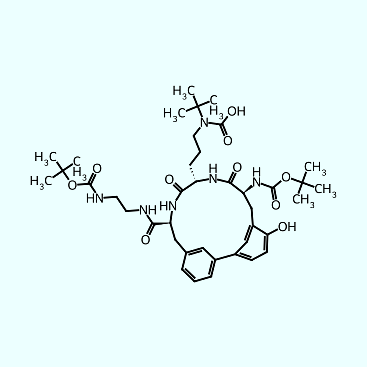 CC(C)(C)OC(=O)NCCNC(=O)[C@@H]1Cc2cccc(c2)-c2ccc(O)c(c2)C[C@H](NC(=O)OC(C)(C)C)C(=O)N[C@@H](CCCN(C(=O)O)C(C)(C)C)C(=O)N1